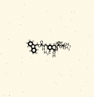 Cc1cc(CNC(=O)OCC2c3ccccc3-c3ccccc32)cc(CNC(=O)OC(C)(C)C)c1C(=O)O